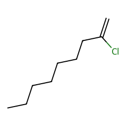 C=C(Cl)CCCCCCC